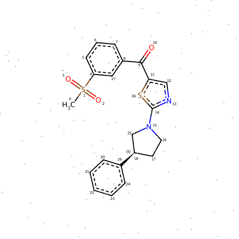 CS(=O)(=O)c1cccc(C(=O)c2cnc(N3CC[C@@H](c4ccccc4)C3)s2)c1